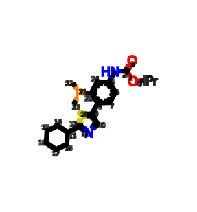 CC(C)OC(=O)Nc1ccc(-c2cnc(C3CCCCC3)s2)c(P(C)C)c1